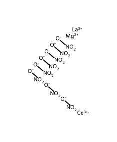 O=[N+]([O-])[O-].O=[N+]([O-])[O-].O=[N+]([O-])[O-].O=[N+]([O-])[O-].O=[N+]([O-])[O-].O=[N+]([O-])[O-].O=[N+]([O-])[O-].O=[N+]([O-])[O-].[Ce+3].[La+3].[Mg+2]